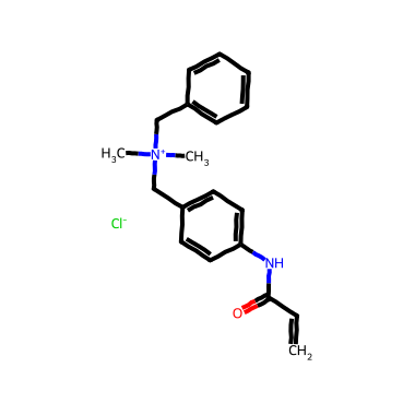 C=CC(=O)Nc1ccc(C[N+](C)(C)Cc2ccccc2)cc1.[Cl-]